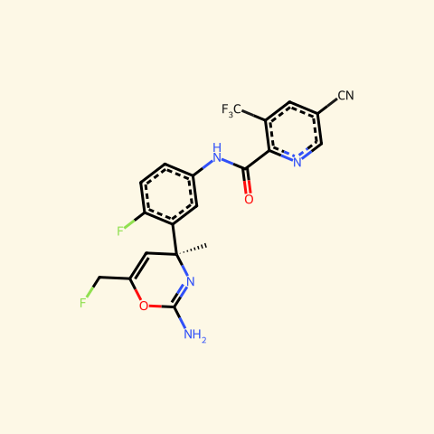 C[C@@]1(c2cc(NC(=O)c3ncc(C#N)cc3C(F)(F)F)ccc2F)C=C(CF)OC(N)=N1